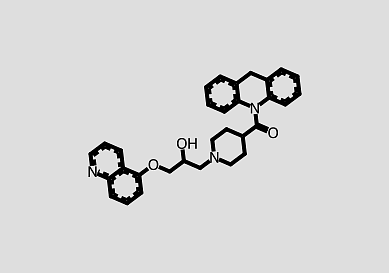 O=C(C1CCN(CC(O)COc2cccc3ncccc23)CC1)N1c2ccccc2Cc2ccccc21